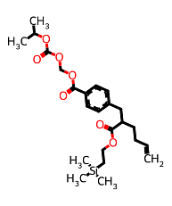 C=CCCC(Cc1ccc(C(=O)OCOC(=O)OC(C)C)cc1)C(=O)OCC[Si](C)(C)C